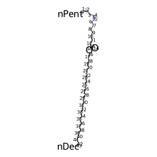 CCCCC/C=C\C/C=C\CCCCCCCC(=O)OCCCCCCCCCCCCCCCCCCCCCCCCCCCCCCCCCCCCC